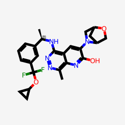 Cc1nnc(N[C@H](C)c2cccc(C(F)(F)OC3CC3)c2)c2cc(N3CC4CC3CO4)c(O)nc12